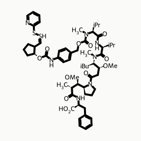 CC[C@H](C)[C@@H]([C@@H](CC(=O)N1CCC[C@H]1[C@H](OC)[C@@H](C)C(=O)N[C@@H](Cc1ccccc1)C(=O)O)OC)N(C)C(=O)[C@@H](NC(=O)[C@H](C(C)C)N(C)C(=O)OCc1ccc(NC(=O)O[C@@H]2CCCC2/C=[SH]\Sc2ccccn2)cc1)C(C)C